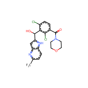 O=C(c1ccc(Cl)c(C(O)c2cc3nc(C(F)(F)F)ccc3[nH]2)c1Cl)N1CCOCC1